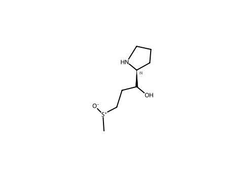 C[S+]([O-])CCC(O)[C@@H]1CCCN1